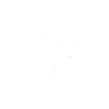 CCCNCC(COC(Cc1ccccc1)C(=O)c1ccccc1)OC.Cl